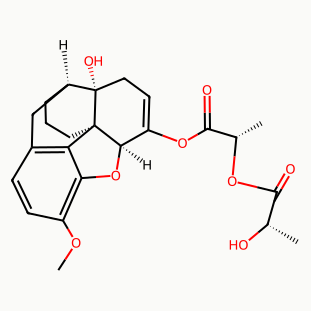 COc1ccc2c3c1O[C@@H]1C(OC(=O)[C@H](C)OC(=O)[C@H](C)O)=CC[C@]4(O)[C@@H](CCC[C@@]314)C2